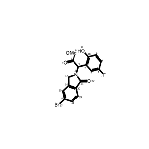 COC(=O)C(c1cc(F)ccc1O)N1Cc2cc(Br)ccc2C1=O